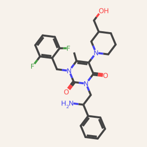 Cc1c(N2CCCC(CO)C2)c(=O)n(CC(N)c2ccccc2)c(=O)n1Cc1c(F)cccc1F